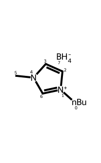 CCCC[n+]1ccn(C)c1.[BH4-]